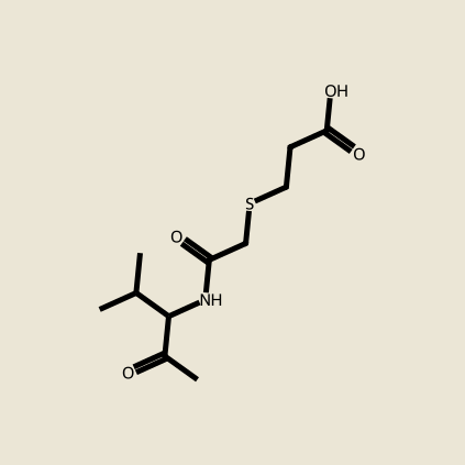 CC(=O)C(NC(=O)CSCCC(=O)O)C(C)C